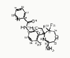 CCC1(c2cc(NC(=O)c3ccccn3)ccc2F)N=C(N)COCC1(F)F